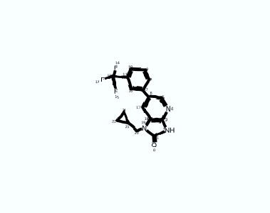 O=c1[nH]c2ncc(-c3cccc(C(F)(F)F)c3)cc2n1CC1CC1